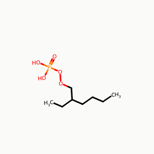 CCCCC(CC)COOP(=O)(O)O